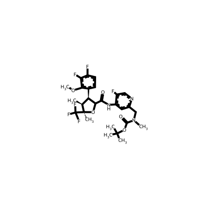 COc1c([C@H]2C(C(=O)Nc3cc(CN(C)C(=O)OC(C)(C)C)ncc3F)O[C@@](C)(C(F)(F)F)[C@H]2C)ccc(F)c1F